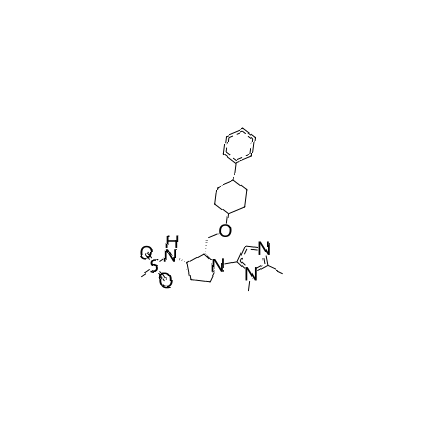 Cc1ncc(N2CC[C@H](NS(C)(=O)=O)[C@@H]2COC2CCC(c3ccccc3)CC2)n1C